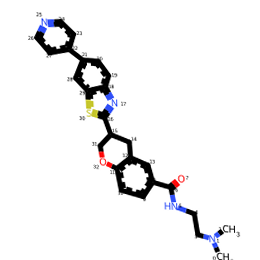 CN(C)CCNC(=O)c1ccc2c(c1)CC(c1nc3ccc(-c4ccncc4)cc3s1)CO2